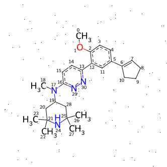 COc1ccc(C2=CCCC2)cc1-c1ccc(N(C)C2CC(C)(C)NC(C)(C)C2)nn1